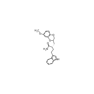 COc1ccc2c(c1)OC(C[C@H](CCc1c[nH]c3ccccc13)C(N)=O)CO2